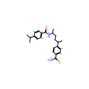 CC(CCC(C)c1ccc(C(N)=O)cc1)NC(=O)c1ccc(C(C)C)cc1